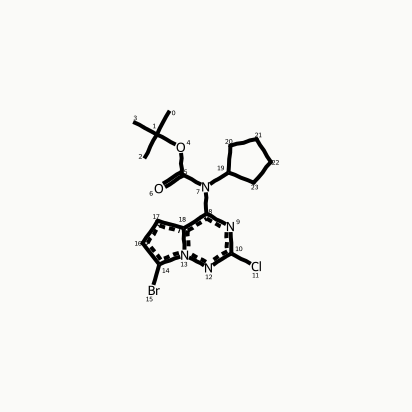 CC(C)(C)OC(=O)N(c1nc(Cl)nn2c(Br)ccc12)C1CCCC1